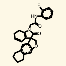 O=C(CN1C(=O)C2(COc3cc4c(cc32)CCCC4)C2=C1CCC=C2)Nc1ccccc1F